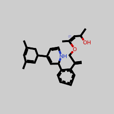 C=C(CO/C(C)=C\C(C)O)c1ccccc1C1C=C(C2C=C(C)C=C(C)C2)C=CN1